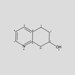 OC1CCc2cccnc2C1